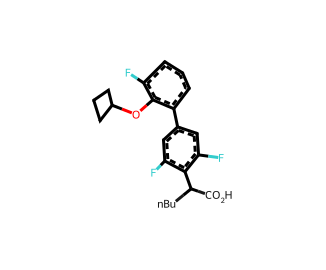 CCCCC(C(=O)O)c1c(F)cc(-c2cccc(F)c2OC2CCC2)cc1F